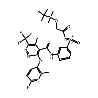 Cc1nc(F)ccc1Oc1nnc(C(F)(F)F)c(C)c1C(=O)Nc1cccc([S@@](C)(=O)=NC(=O)CO[Si](C)(C)C(C)(C)C)c1